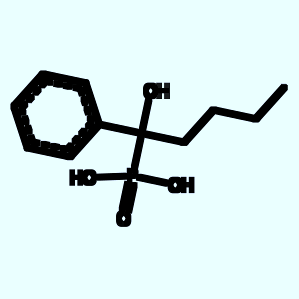 CCCCC(O)(c1ccccc1)P(=O)(O)O